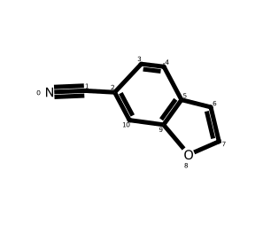 N#Cc1c[c]c2ccoc2c1